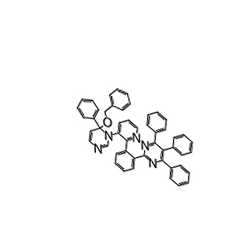 C1=CC(OCc2ccccc2)(c2ccccc2)N(c2cccnc2-c2ccccc2-c2nc(-c3ccccc3)c(-c3ccccc3)c(-c3ccccc3)n2)C=N1